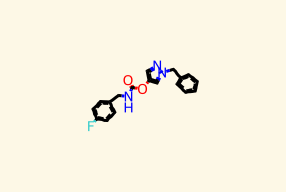 O=C(NCc1ccc(F)cc1)Oc1cnn(Cc2ccccc2)c1